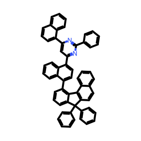 c1ccc(-c2nc(-c3cccc4ccccc34)cc(-c3ccc(-c4cccc5c4-c4c(ccc6ccccc46)C5(c4ccccc4)c4ccccc4)c4ccccc34)n2)cc1